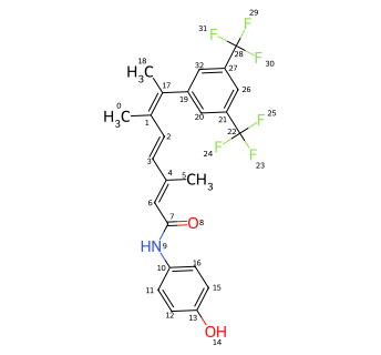 CC(/C=C/C(C)=C/C(=O)Nc1ccc(O)cc1)=C(\C)c1cc(C(F)(F)F)cc(C(F)(F)F)c1